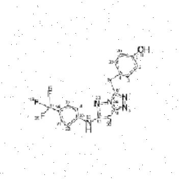 Oc1ccc(Cc2nnc3sc(Nc4ccc(C(F)(F)F)cc4)nn23)cc1